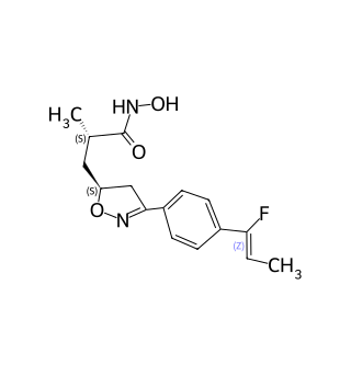 C/C=C(\F)c1ccc(C2=NO[C@@H](C[C@H](C)C(=O)NO)C2)cc1